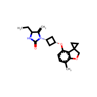 C=C1C(CC)NC(=O)N1[C@H]1C[C@@H](Oc2ccc(C)c3c2C2(CC2)CO3)C1